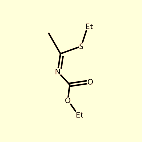 CCOC(=O)N=C(C)SCC